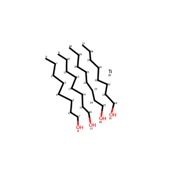 CCCCCCCCO.CCCCCCCCO.CCCCCCCCO.CCCCCCCCO.[Ti]